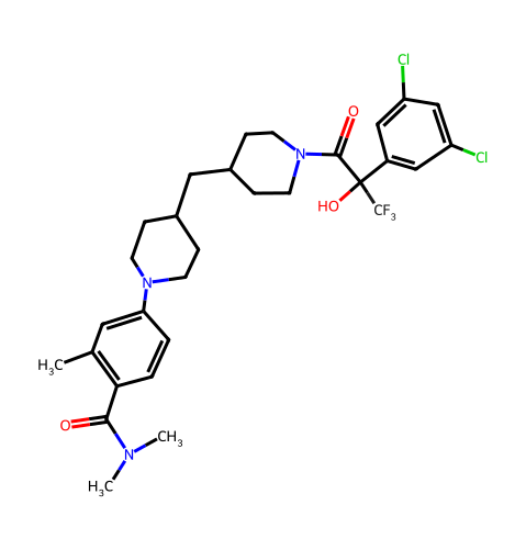 Cc1cc(N2CCC(CC3CCN(C(=O)C(O)(c4cc(Cl)cc(Cl)c4)C(F)(F)F)CC3)CC2)ccc1C(=O)N(C)C